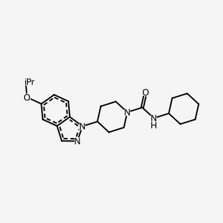 CC(C)Oc1ccc2c(cnn2C2CCN(C(=O)NC3CCCCC3)CC2)c1